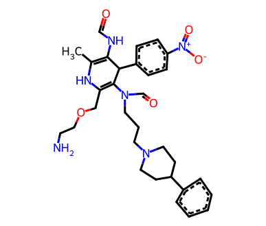 CC1=C(NC=O)C(c2ccc([N+](=O)[O-])cc2)C(N(C=O)CCCN2CCC(c3ccccc3)CC2)=C(COCCN)N1